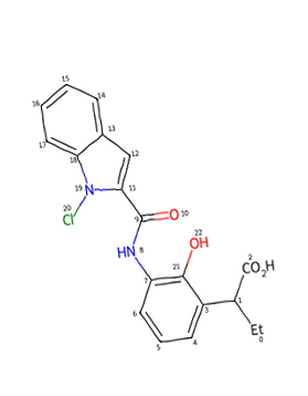 CCC(C(=O)O)c1cccc(NC(=O)c2cc3ccccc3n2Cl)c1O